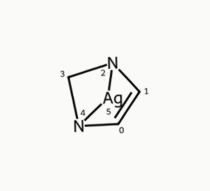 C1=C[N]2C[N]1[Ag]2